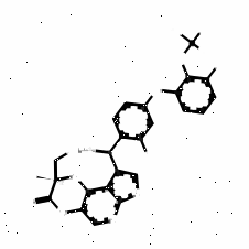 [2H]C([2H])([2H])Oc1c(F)cccc1Oc1ccc(C(O)c2c[nH]c3ncc4c(c23)N[C@@](C)(COC)C(=O)N4)c(Cl)c1